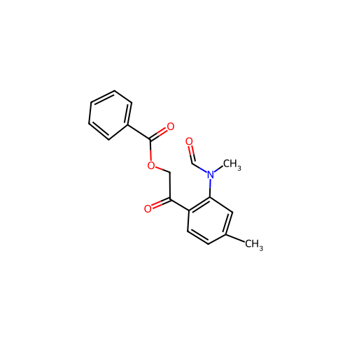 Cc1ccc(C(=O)COC(=O)c2ccccc2)c(N(C)C=O)c1